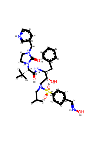 CC(C)CN(C[C@@H](O)[C@H](Cc1ccccc1)NC(=O)[C@@H](N1CCN(Cc2cccnc2)C1=O)C(C)(C)C)S(=O)(=O)c1ccc(C=NO)cc1